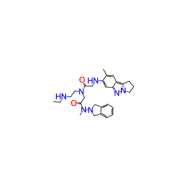 CCNCCN(CC(=O)N(C)N1Cc2ccccc2C1)C(=O)CNc1cc2nn3c(c2cc1C)CCC3